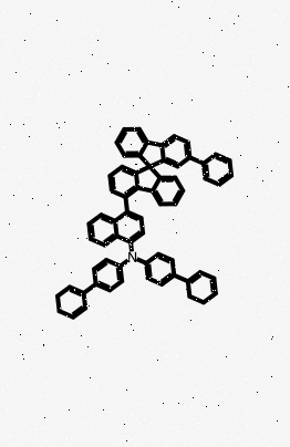 C1=CCCC(c2ccc(N(c3ccc(C4=CCCC=C4)cc3)c3ccc(-c4cccc5c4-c4ccccc4C54c5ccccc5-c5ccc(-c6ccccc6)cc54)c4ccccc34)cc2)=C1